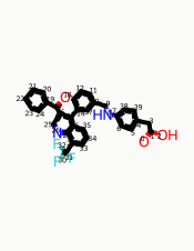 O=C(O)Cc1ccc(NCc2cccc(-c3c(C(=O)c4ccccc4)cnc4c(C(F)(F)F)cccc34)c2)cc1